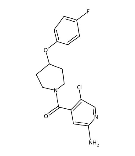 Nc1cc(C(=O)N2CCC(Oc3ccc(F)cc3)CC2)c(Cl)cn1